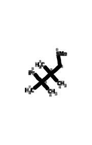 CSCC(C)(C)C(C)(C)C(C)C